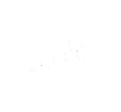 COc1cc(N(N)C(=N)N)ccc1CC(=O)O